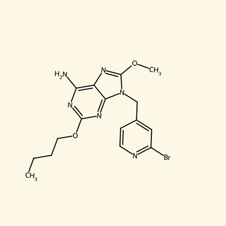 CCCCOc1nc(N)c2nc(OC)n(Cc3ccnc(Br)c3)c2n1